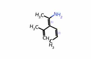 C=C(C)C(/C=C\C)=C(\C)N